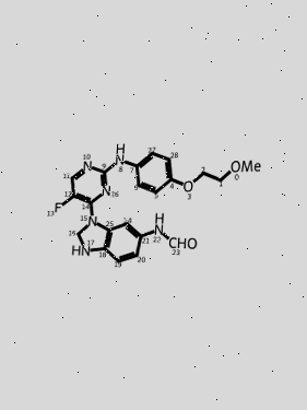 COCCOc1ccc(Nc2ncc(F)c(N3CNc4ccc(NC=O)cc43)n2)cc1